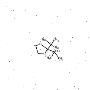 CCCCC(C)(CCCC)C1(C(C)(C)CC)OCCO1